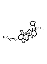 COCO[C@H]1C[C@H](O)[C@]2(C)[C@H]3CC[C@]4(C)[C@@H](C(C)C5OCCO5)CC[C@H]4[C@@H]3C=C[C@@]2(O)C1